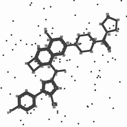 CN(c1nc(-c2ccc(F)cc2)c(C#N)s1)c1c2c(nc3c(F)cc(N4CCN(C(=O)[C@@H]5CCOC5)CC4)cc13)CC2